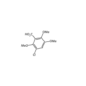 COc1cc(Cl)c(OC)c(C(=O)O)c1OC